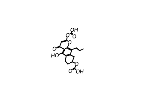 CCCc1c2c(c(O)c3c(=O)cc(OC(=O)O)oc13)CCC(OC(=O)O)C2